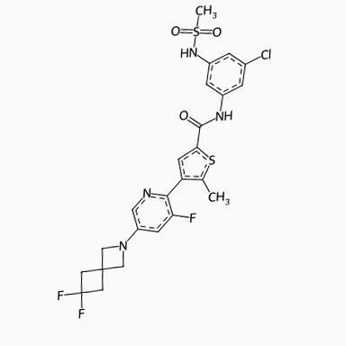 Cc1sc(C(=O)Nc2cc(Cl)cc(NS(C)(=O)=O)c2)cc1-c1ncc(N2CC3(C2)CC(F)(F)C3)cc1F